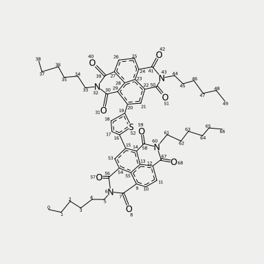 CCCCCCN1C(=O)c2ccc3c4c(c(-c5ccc(-c6cc7c8c(ccc9c8c6C(=O)N(CCCCCC)C9=O)C(=O)N(CCCCCC)C7=O)s5)cc(c24)C1=O)C(=O)N(CCCCCC)C3=O